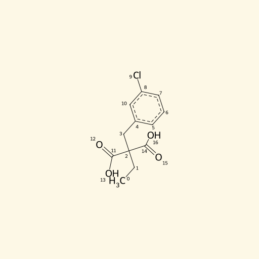 CCC(Cc1cccc(Cl)c1)(C(=O)O)C(=O)O